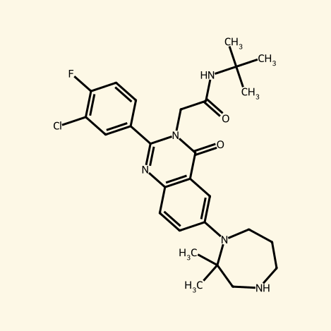 CC(C)(C)NC(=O)Cn1c(-c2ccc(F)c(Cl)c2)nc2ccc(N3CCCNCC3(C)C)cc2c1=O